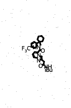 CCC(C)NC(=O)Cc1cn2c(C(=O)NCC3(c4ccc(C(F)(F)F)cc4)CCCCC3)cccc2n1